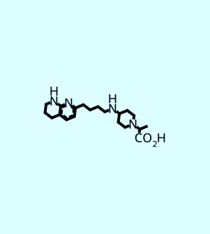 CC(C(=O)O)N1CCC(NCCCCc2ccc3c(n2)NCCC3)CC1